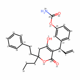 C=C[C@@H](C1=C(O)CC(CCC)(CCc2ccccc2)OC1=O)c1cccc(OC(N)=O)c1